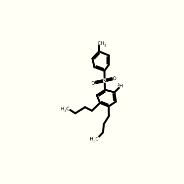 [2H]c1cc(CCCC)c(CCCC)cc1S(=O)(=O)c1ccc(C)cc1